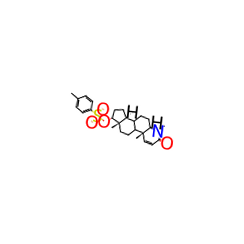 Cc1ccc(S(=O)(=O)OC2CC[C@H]3C4CC[C@H]5N(C)C(=O)C=C[C@]5(C)C4CC[C@]23C)cc1